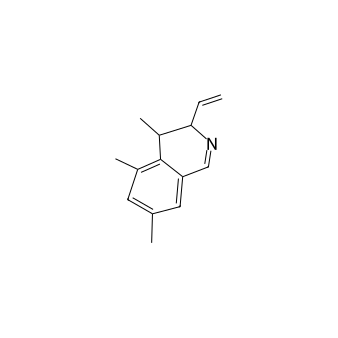 C=CC1N=Cc2cc(C)cc(C)c2C1C